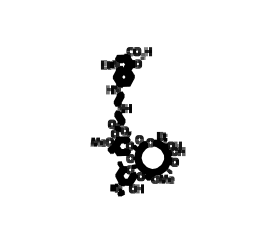 CC[C@H]1OC(=O)[C@H](C)[C@@H](O[C@H]2C[C@@](C)(OC)[C@@H](OS(=O)(=O)CCNCCNc3ccc4c(=O)c(C(=O)O)cn(CC)c4c3)[C@H](C)O2)[C@H](C)[C@@H](O[C@@H]2O[C@H](C)CC(N(C)C)[C@H]2O)[C@](C)(OC)C[C@@H](C)C(=O)C(O)[C@]1(C)O